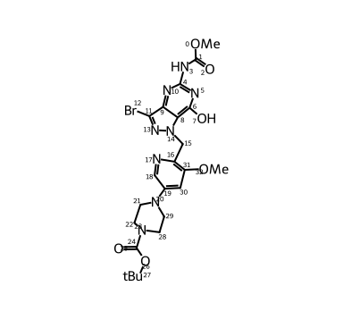 COC(=O)Nc1nc(O)c2c(n1)c(Br)nn2Cc1ncc(N2CCN(C(=O)OC(C)(C)C)CC2)cc1OC